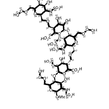 CO[C@H]1OC(COOO)[C@@H](O[C@@H]2OC(C(=O)O)[C@@H](COC[C@H]3OC(COOO)[C@@H](O[C@@H]4OC(C(=O)O)[C@@H](COC[C@H]5OC(COOO)[C@@H](O)[C@@H](O)C5NS(=O)(=O)O)[C@@H](O)C4O)[C@@H](OS(=O)(=O)O)C3NS(=O)(=O)O)[C@@H](O)C2OS(=O)(=O)O)[C@@H](O)C1NS(=O)(=O)O